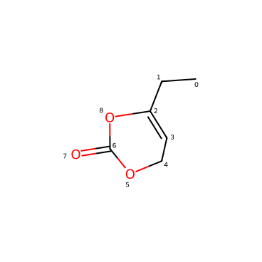 CCC1=CCOC(=O)O1